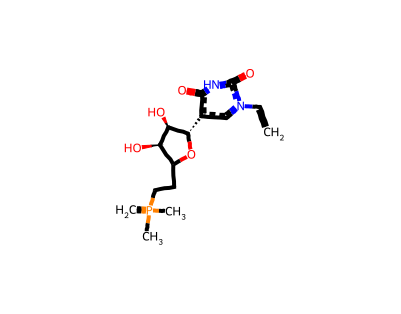 C=Cn1cc([C@@H]2OC(CCP(=C)(C)C)[C@@H](O)[C@H]2O)c(=O)[nH]c1=O